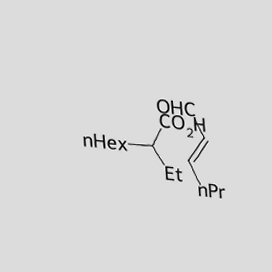 CCC/C=C/C=O.CCCCCCC(CC)C(=O)O